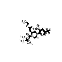 CCOC(=O)CC1CN(c2ncc(C(F)(F)F)cc2[N+](=O)[O-])CCN1C(=O)OC(C)(C)C